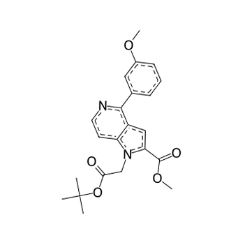 COC(=O)c1cc2c(-c3cccc(OC)c3)nccc2n1CC(=O)OC(C)(C)C